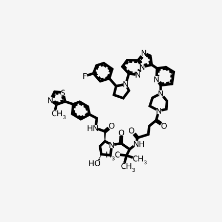 Cc1ncsc1-c1ccc(CNC(=O)[C@@H]2C[C@@H](O)CN2C(=O)C(NC(=O)CCC(=O)N2CCN(c3cccc(-c4cnc5ccc(N6CCCC6c6cccc(F)c6)nn45)n3)CC2)C(C)(C)C)cc1